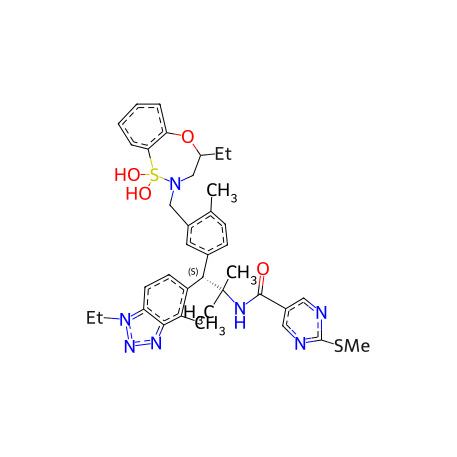 CCC1CN(Cc2cc([C@@H](c3ccc4c(nnn4CC)c3C)C(C)(C)NC(=O)c3cnc(SC)nc3)ccc2C)S(O)(O)c2ccccc2O1